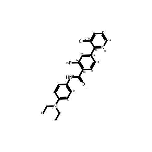 CCN(CC)c1ccc(NC(=O)c2ccc(-c3ncccc3Cl)cc2F)cc1